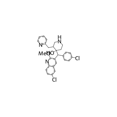 COc1nc2ccc(Cl)cc2cc1C(c1ccc(Cl)cc1)C1(O)CCNCC1Cc1ccccn1